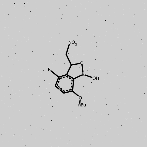 CCCCOc1ccc(F)c2c1B(O)OC2C[N+](=O)[O-]